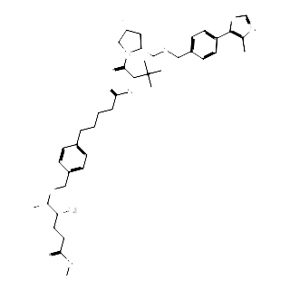 CNC(=O)CC[C@H](N)[C@@H](C)OCc1ccc(CCCCC(=O)N[C@H](C(=O)N2C[C@H](O)C[C@H]2CNCc2ccc(-c3scnc3C)cc2)C(C)(C)C)cc1